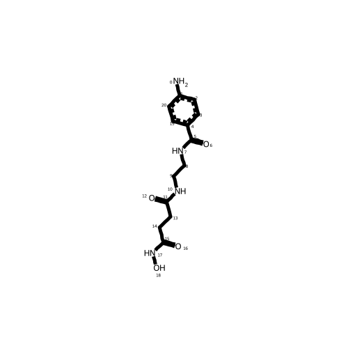 Nc1ccc(C(=O)NCCNC(=O)CCC(=O)NO)cc1